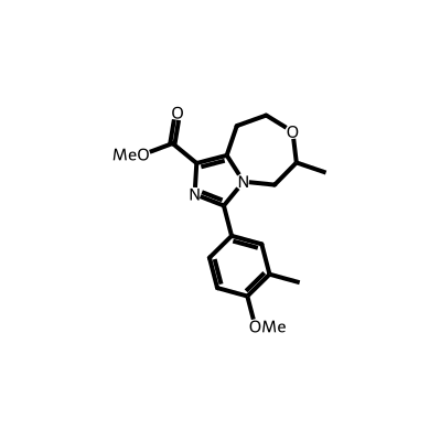 COC(=O)c1nc(-c2ccc(OC)c(C)c2)n2c1CCOC(C)C2